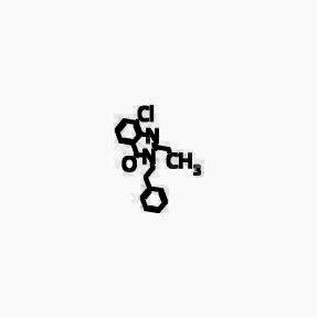 CCc1nc2c(Cl)cccc2c(=O)n1CCc1ccccc1